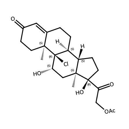 CC(=O)OCC(=O)[C@@]1(O)CC[C@H]2[C@@H]3CCC4=CC(=O)CC[C@]4(C)[C@@]3(Cl)[C@@H](O)C[C@@]21C